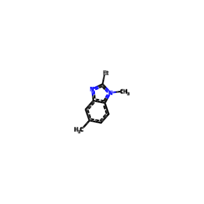 CCc1nc2cc(C)ccc2n1C